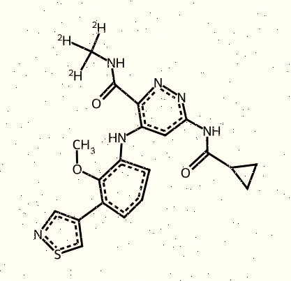 [2H]C([2H])([2H])NC(=O)c1nnc(NC(=O)C2CC2)cc1Nc1cccc(-c2cnsc2)c1OC